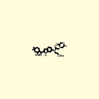 COCCN(C(=O)CN1C[C@H](C)OCC1=O)c1ccc2cc(-c3n[nH]c4c3CCC(C)(C)C4)[nH]c2c1